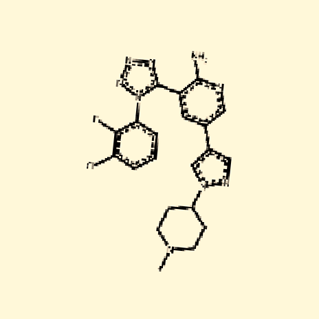 CN1CCC(n2cc(-c3cnc(N)c(-c4nnnn4-c4cccc(Cl)c4F)c3)cn2)CC1